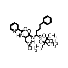 COC[C@@H](NC(=O)c1ccccn1)C(=O)N[C@@H](CCCc1ccccc1)B1OC(C)(C)C(C)(C)O1